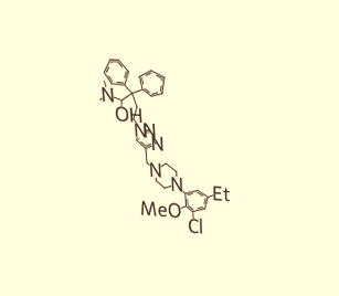 CCc1cc(Cl)c(OC)c(N2CCN(Cc3cn(CCC(c4ccccc4)(c4ccccc4)C(O)N(C)C)nn3)CC2)c1